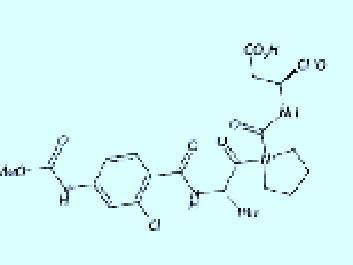 COC(=O)Nc1ccc(C(=O)N[C@H](C(=O)[N+]2(C(=O)N[C@H](C=O)CC(=O)O)CCCC2)C(C)(C)C)c(Cl)c1